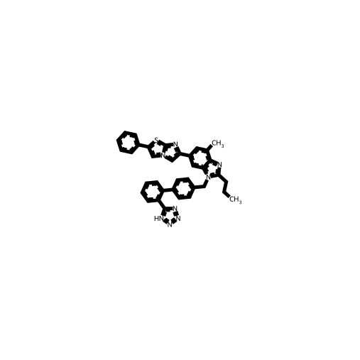 CCCc1nc2c(C)cc(-c3cn4cc(-c5ccccc5)sc4n3)cc2n1Cc1ccc(-c2ccccc2-c2nnn[nH]2)cc1